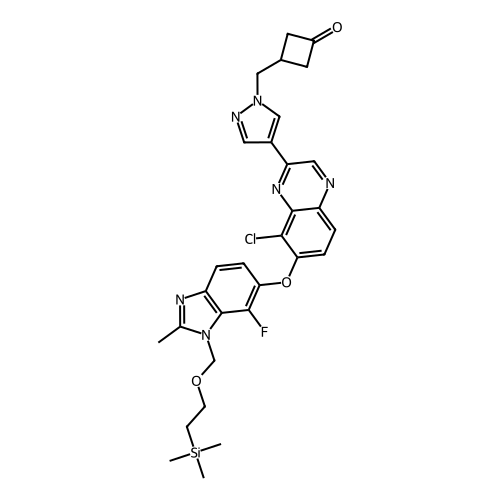 Cc1nc2ccc(Oc3ccc4ncc(-c5cnn(CC6CC(=O)C6)c5)nc4c3Cl)c(F)c2n1COCC[Si](C)(C)C